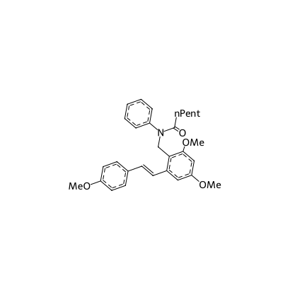 CCCCCC(=O)N(Cc1c(C=Cc2ccc(OC)cc2)cc(OC)cc1OC)c1ccccc1